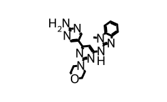 Cn1c(Nc2cc(-c3cnc(N)nc3)nc(N3CCOCC3)n2)nc2ccccc21